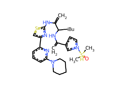 C=C(NC(C(=C)Nc1nc(-c2cccc(N3CCCCC3)n2)cs1)C(C)CC)c1ccn([SH](C)(C)=O)c1